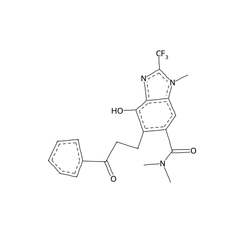 CN(C)C(=O)c1cc2c(nc(C(F)(F)F)n2C)c(O)c1CCC(=O)c1ccccc1